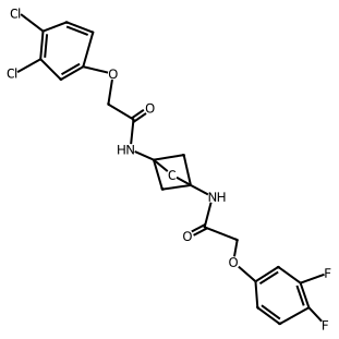 O=C(COc1ccc(F)c(F)c1)NC12CC(NC(=O)COc3ccc(Cl)c(Cl)c3)(C1)C2